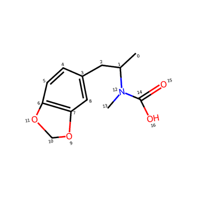 CC(Cc1ccc2c(c1)OCO2)N(C)C(=O)O